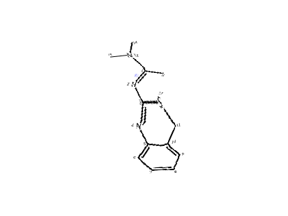 C/C(=N\C1=Nc2ccccc2CS1)N(C)C